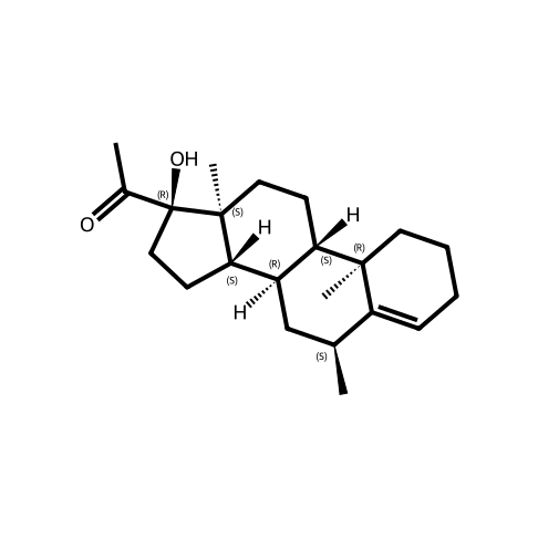 CC(=O)[C@@]1(O)CC[C@H]2[C@@H]3C[C@H](C)C4=CCCC[C@]4(C)[C@H]3CC[C@@]21C